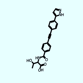 CC(O)C(NC(=O)c1ccc(C#Cc2ccc(-c3ccn[nH]3)cc2)cc1)C(=O)O